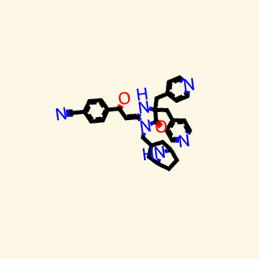 N#Cc1ccc(C(=O)C=C2NC(Cc3ccncc3)(Cc3ccncc3)C(=O)N2CC2CC3CCC(C2)N3)cc1